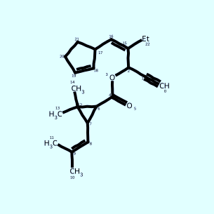 C#CC(OC(=O)C1C(C=C(C)C)C1(C)C)C(=CC1C=CCC1)CC